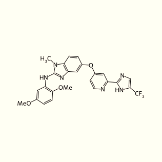 COc1ccc(OC)c(Nc2nc3cc(Oc4ccnc(-c5ncc(C(F)(F)F)[nH]5)c4)ccc3n2C)c1